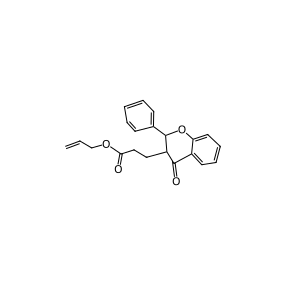 C=CCOC(=O)CCC1C(=O)c2ccccc2OC1c1ccccc1